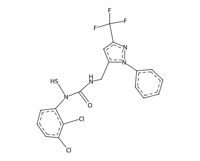 O=C(NCc1cc(C(F)(F)F)nn1-c1ccccc1)N(S)c1cccc(Cl)c1Cl